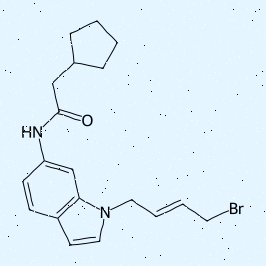 O=C(CC1CCCC1)Nc1ccc2ccn(CC=CCBr)c2c1